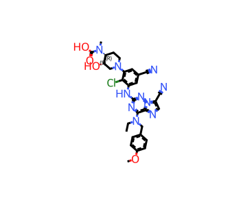 CCN(Cc1ccc(OC)cc1)c1nc(Nc2cc(C#N)cc(N3CC[C@@H](N(C)C(=O)O)[C@@H](O)C3)c2Cl)nn2c(C#N)cnc12